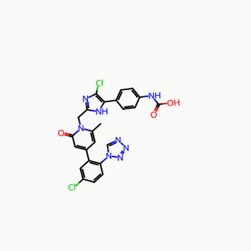 Cc1cc(-c2cc(Cl)ccc2-n2cnnn2)cc(=O)n1Cc1nc(Cl)c(-c2ccc(NC(=O)O)cc2)[nH]1